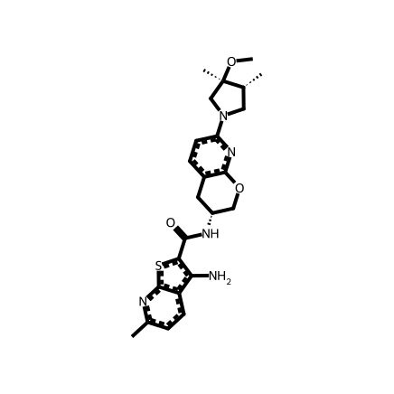 CO[C@]1(C)CN(c2ccc3c(n2)OC[C@H](NC(=O)c2sc4nc(C)ccc4c2N)C3)C[C@H]1C